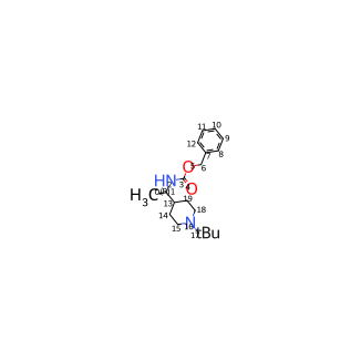 C[C@@H](NC(=O)OCc1ccccc1)C1CCN(C(C)(C)C)CC1